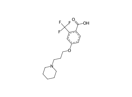 O=C(O)c1ccc(OCCCN2CCCCC2)cc1C(F)(F)F